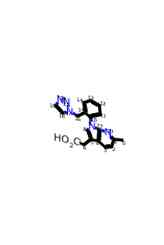 Cc1ccc2c(CC(=O)O)cn(-c3ccccc3Cn3ccnn3)c2n1